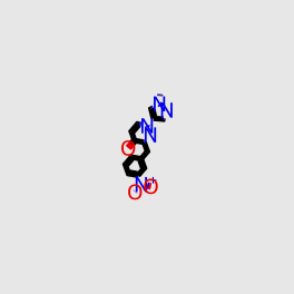 Cn1cc(-n2ccc(=O)c(Cc3cccc([N+](=O)[O-])c3)n2)cn1